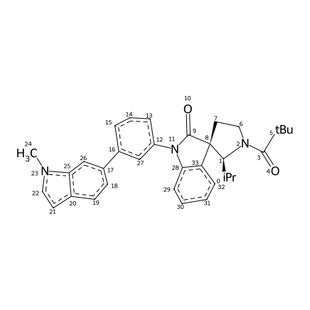 CC(C)[C@@H]1N(C(=O)C(C)(C)C)CC[C@@]12C(=O)N(c1cccc(-c3ccc4ccn(C)c4c3)c1)c1ccccc12